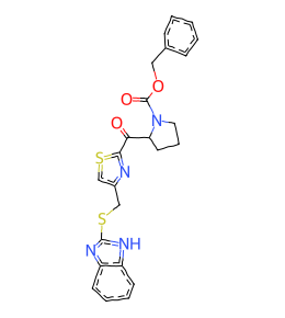 O=C(c1nc(CSc2nc3ccccc3[nH]2)cs1)C1CCCN1C(=O)OCc1ccccc1